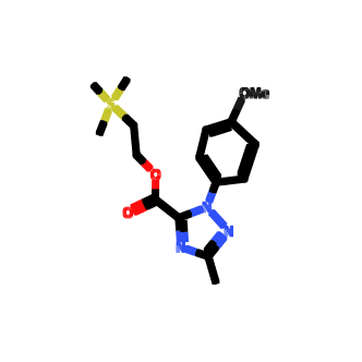 COc1ccc(-n2nc(C)nc2C(=O)OCCS(C)(C)C)cc1